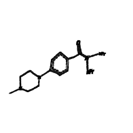 CCCN(CCC)C(=O)c1ccc(N2CCN(C)CC2)cc1